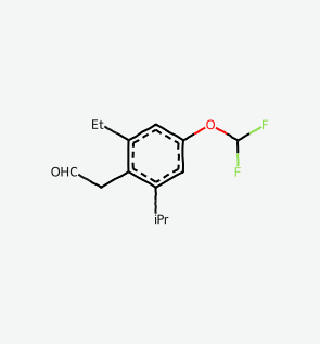 CCc1cc(OC(F)F)cc(C(C)C)c1CC=O